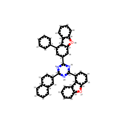 c1ccc(-c2cc(-c3nc(-c4ccc5ccccc5c4)nc(-c4cccc5oc6ccccc6c45)n3)cc3oc4ccccc4c23)cc1